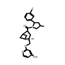 N#Cc1ccnc(OC[C@@H]2CC(C(=O)N3CC(F)CC3c3cccc(F)c3)C3CC2C3)c1